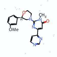 COc1cccc([C@@H]2CN(c3nc(-c4ccncn4)cc(=O)n3C)CCO2)c1